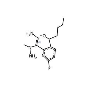 CCCCC(O)c1ccc(F)nc1/C(=N/N)N(C)N